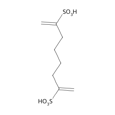 C=C(CCCCC(=C)S(=O)(=O)O)S(=O)(=O)O